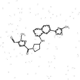 Cc1nc(-c2ccc3ccnc(NC4CCN(C(=O)c5cc(C=O)n(C)n5)C4)c3c2)no1